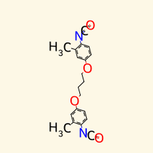 Cc1cc(OCCCCOc2ccc(N=C=O)c(C)c2)ccc1N=C=O